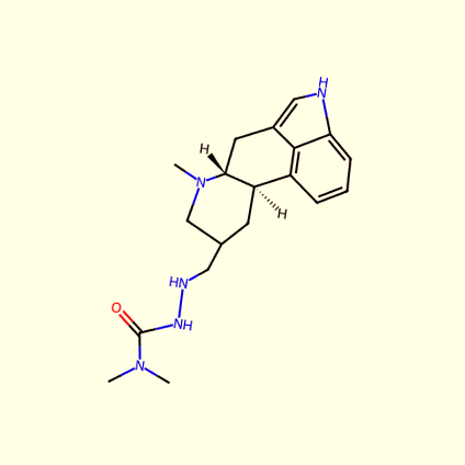 CN(C)C(=O)NNCC1C[C@@H]2c3cccc4[nH]cc(c34)C[C@H]2N(C)C1